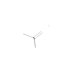 CC(=S)[S-].[K+]